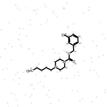 O=CCCCCN1CCN(C(=O)OCc2cccc(Cl)c2)CC1